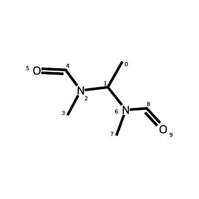 CC(N(C)C=O)N(C)C=O